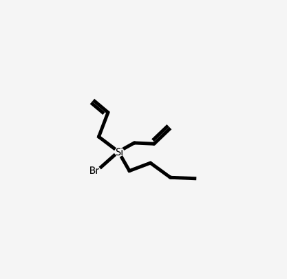 C=CC[Si](Br)(CC=C)CCCC